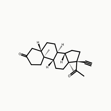 C#C[C@]1(C(C)=O)CC[C@H]2[C@@H]3CC[C@H]4CC(=O)CC[C@]4(C)[C@H]3CC[C@@]21C